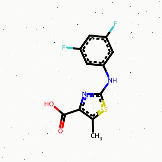 Cc1sc(Nc2cc(F)cc(F)c2)nc1C(=O)O